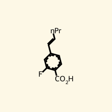 CCCC=Cc1ccc(C(=O)O)c(F)c1